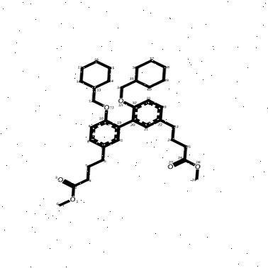 COC(=O)CCCc1ccc(OCC2CCCCC2)c(-c2cc(CCCC(=O)OC)ccc2OCC2CCCCC2)c1